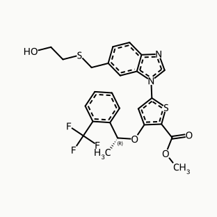 COC(=O)c1sc(-n2cnc3ccc(CSCCO)cc32)cc1O[C@H](C)c1ccccc1C(F)(F)F